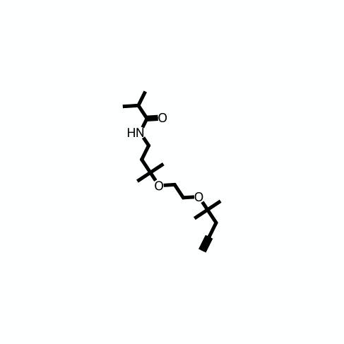 C#CCC(C)(C)OCCOC(C)(C)CCNC(=O)C(C)C